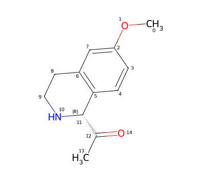 COc1ccc2c(c1)CCN[C@H]2C(C)=O